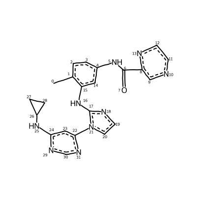 Cc1ccc(NC(=O)c2cnccn2)cc1Nc1nccn1-c1cc(NC2CC2)ncn1